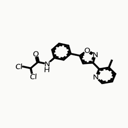 Cc1cccnc1-c1cc(-c2cccc(NC(=O)C(Cl)Cl)c2)on1